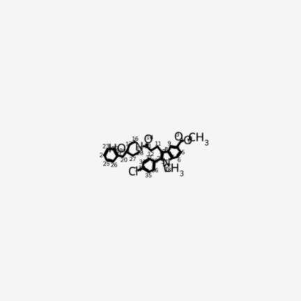 COC(=O)c1ccc2c(c1)c(CCC(=O)N1CCC(O)(Cc3ccccc3)CC1)c(-c1ccc(Cl)cc1)n2C